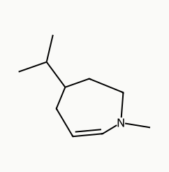 CC(C)C1CC=CN(C)CC1